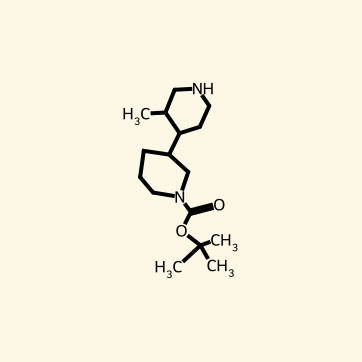 CC1CNCCC1C1CCCN(C(=O)OC(C)(C)C)C1